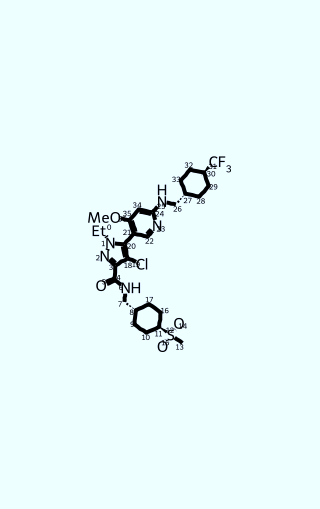 CCn1nc(C(=O)NC[C@H]2CC[C@H](S(C)(=O)=O)CC2)c(Cl)c1-c1cnc(NC[C@H]2CC[C@H](C(F)(F)F)CC2)cc1OC